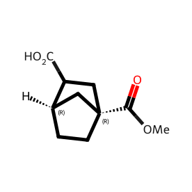 COC(=O)[C@]12CC[C@H](C1)C(C(=O)O)C2